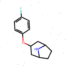 Fc1ccc(OC2CC3CCC(C2)N3)cc1